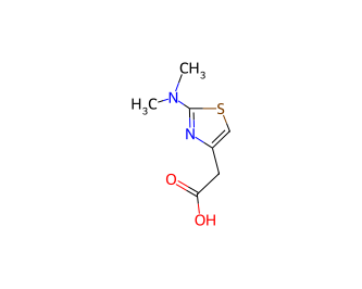 CN(C)c1nc(CC(=O)O)cs1